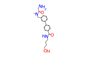 CN(Cc1cccc(-c2ccc(C(=O)NCCCCO)cc2)c1)C(=O)CN